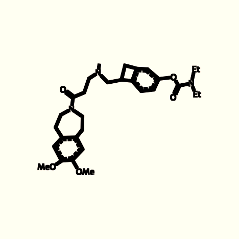 CCN(CC)C(=O)Oc1ccc2c(c1)CC2CN(C)CCC(=O)N1CCc2cc(OC)c(OC)cc2CC1